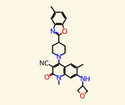 Cc1ccc2oc(C3CCN(c4c(C#N)c(=O)n(C)c5cc(NC6COC6)c(C)cc45)CC3)nc2c1